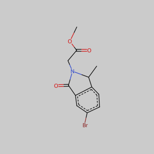 COC(=O)CN1C(=O)c2cc(Br)ccc2C1C